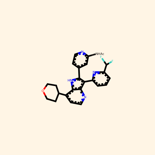 CC(=O)Nc1cc(-c2[nH]c3c(C4CCOCC4)ccnc3c2-c2cccc(C(F)F)n2)ccn1